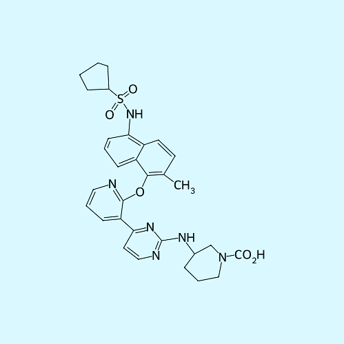 Cc1ccc2c(NS(=O)(=O)C3CCCC3)cccc2c1Oc1ncccc1-c1ccnc(NC2CCCN(C(=O)O)C2)n1